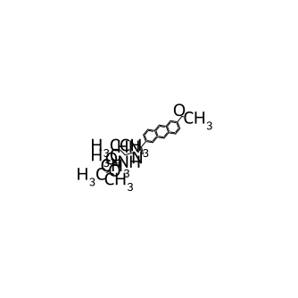 CC(=O)c1ccc2cc3cc(-c4cnc(C(NC(=O)OC(C)(C)C)C(C)(C)C)[nH]4)ccc3cc2c1